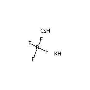 F[B-](F)(F)F.[CsH].[KH]